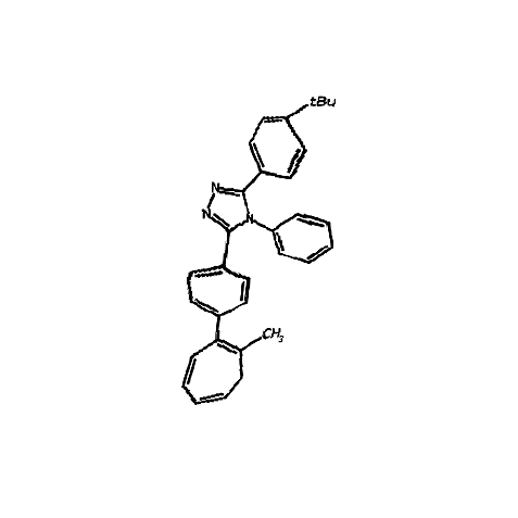 CC1=C(c2ccc(-c3nnc(-c4ccc(C(C)(C)C)cc4)n3-c3ccccc3)cc2)C=CC=CC1